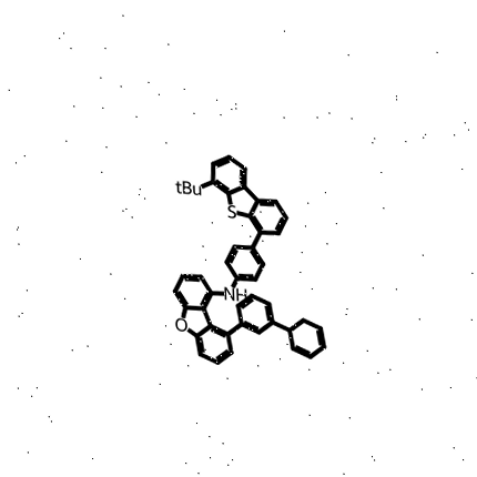 CC(C)(C)c1cccc2c1sc1c(-c3ccc(Nc4cccc5oc6cccc(-c7cccc(C8C=CC=CC8)c7)c6c45)cc3)cccc12